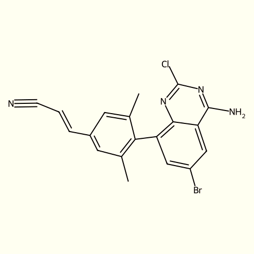 Cc1cc(C=CC#N)cc(C)c1-c1cc(Br)cc2c(N)nc(Cl)nc12